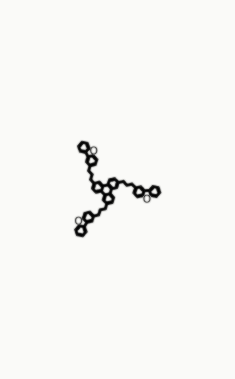 c1ccc2c(c1)oc1ccc(CCCc3ccc4c(c3)c3ccc(CCCc5ccc6oc7ccccc7c6c5)cc3c3ccc(CCCc5ccc6oc7ccccc7c6c5)cc43)cc12